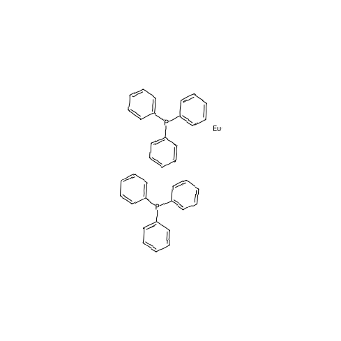 [Eu].c1ccc(P(c2ccccc2)c2ccccc2)cc1.c1ccc(P(c2ccccc2)c2ccccc2)cc1